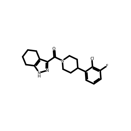 O=C(c1n[nH]c2c1CCCC2)N1CCC(c2cccc(F)c2Cl)CC1